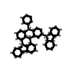 c1ccc(N2c3ccc(-n4c5ccccc5c5ccccc54)cc3B3c4c2cccc4-n2c4ccccc4c4cccc3c42)cc1